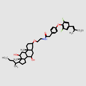 CCOC(=O)C(C)=Cc1cc(F)c(Oc2ccc(CC(=O)NCCOC3CCC4(C)C(C3)CC(O)C3C4CC(O)C4(C)C(C(C)CCC(=O)O)CCC34)cc2)c(F)c1